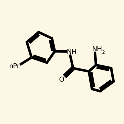 CCCc1cccc(NC(=O)c2ccccc2N)c1